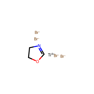 C1=NCCO1.[Br-].[Br-].[Br-].[Br-].[Ti+4]